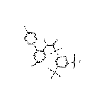 CN(C(=O)C(C)(C)c1cc(C(F)(F)F)cc(C(F)(F)F)c1)c1cnc(Cl)cc1-c1ccc(F)cc1